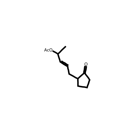 CC(=O)OC(C)C=CCC1CCCC1=O